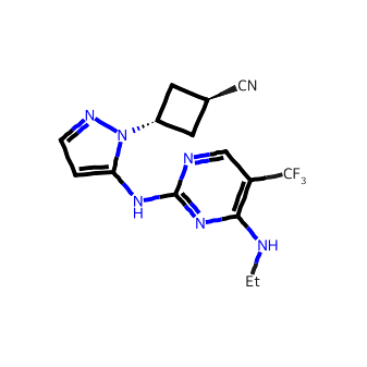 CCNc1nc(Nc2ccnn2[C@H]2C[C@H](C#N)C2)ncc1C(F)(F)F